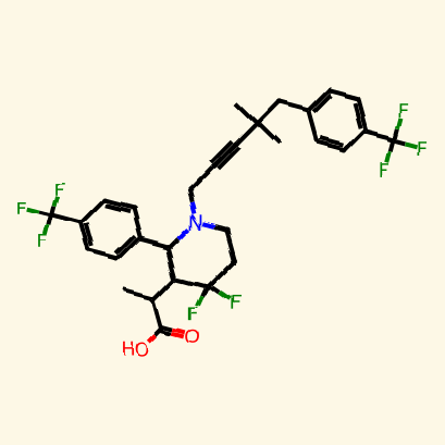 CC(C(=O)O)C1C(c2ccc(C(F)(F)F)cc2)N(CC#CC(C)(C)Cc2ccc(C(F)(F)F)cc2)CCC1(F)F